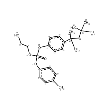 Cc1ccc(OP(=O)(OCCO)Oc2ccc(C(C)(C)CC(C)(C)C)cc2)cc1